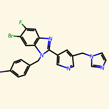 Fc1cc2nc(-c3cncc(Cn4ccnc4)c3)n(Cc3ccc(I)cc3)c2cc1Br